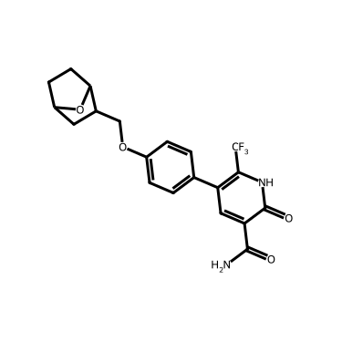 NC(=O)c1cc(-c2ccc(OCC3CC4CCC3O4)cc2)c(C(F)(F)F)[nH]c1=O